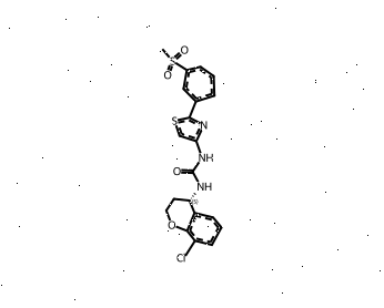 CS(=O)(=O)c1cccc(-c2nc(NC(=O)N[C@H]3CCOc4c(Cl)cccc43)cs2)c1